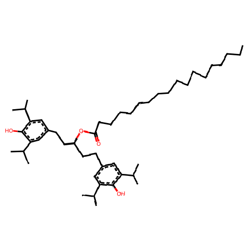 CCCCCCCCCCCCCCCCCC(=O)OC(CCc1cc(C(C)C)c(O)c(C(C)C)c1)CCc1cc(C(C)C)c(O)c(C(C)C)c1